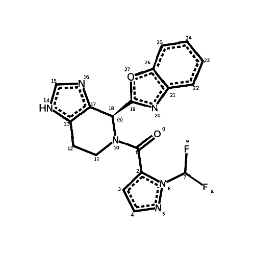 O=C(c1ccnn1C(F)F)N1CCc2[nH]cnc2[C@H]1c1nc2ccccc2o1